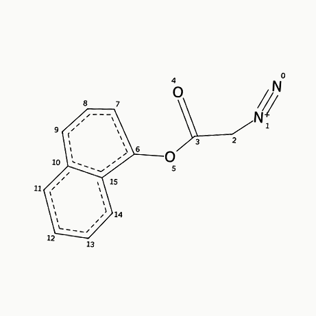 N#[N+]CC(=O)Oc1cccc2ccccc12